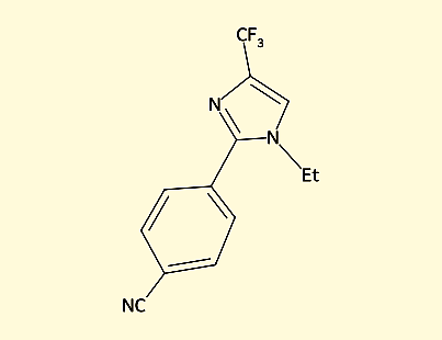 CCn1cc(C(F)(F)F)nc1-c1ccc(C#N)cc1